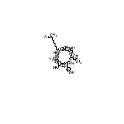 CCC(C)CC(C)CCCCCCCCC(=O)N[C@H]1C[C@@H](O)[C@@H](O)NC(=O)[C@@H]2[C@@H](O)CCN2C(=O)[C@H]([C@H](O)CC(N)=O)NC(=O)[C@H]([C@H](O)[C@@H](O)c2ccc(O)cc2)NC(=O)[C@@H]2C[C@@H](O)CN2C(=O)[C@H]([C@@H](C)O)NC1=O